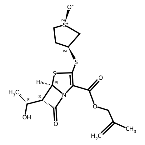 C=C(C)COC(=O)C1=C(S[C@H]2CC[S@@+]([O-])C2)S[C@@H]2[C@@H]([C@@H](C)O)C(=O)N12